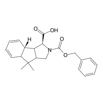 CC1(C)C2CN(C(=O)OCc3ccccc3)[C@H](C(=O)O)C2[C@H]2C=CC=CC21